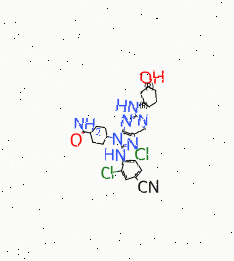 N#Cc1cc(Cl)c(Nc2nc3cnc(N[C@@H]4CCC[C@@H](O)C4)nc3n2C2CCC(C(N)=O)CC2)c(Cl)c1